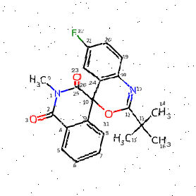 CN1C(=O)c2ccccc2C2(OC(C(C)(C)C)=Nc3ccc(F)cc32)C1=O